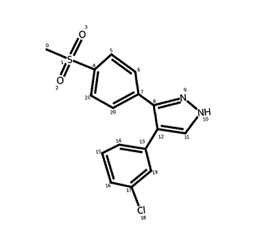 CS(=O)(=O)c1ccc(-c2n[nH]cc2-c2cccc(Cl)c2)cc1